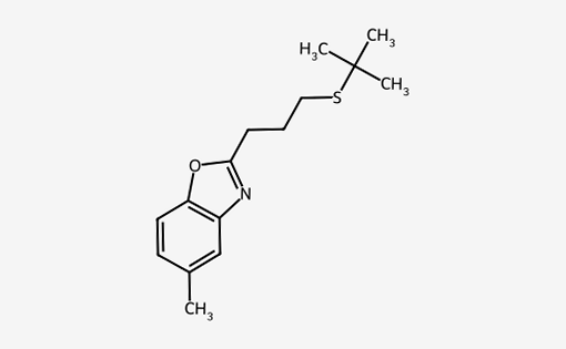 Cc1ccc2oc(CCCSC(C)(C)C)nc2c1